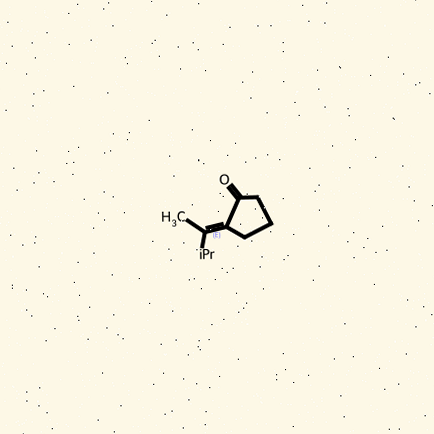 C/C(=C1/CCCC1=O)C(C)C